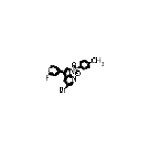 Cc1ccc(S(=O)(=O)n2cc(-c3cccc(F)c3)c3cc(Br)cnc32)cc1